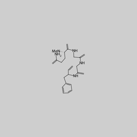 C=CC(Cc1ccccc1)NC(=C)CNC(=C)CNC(=C)[C@H](CCC(=C)N)NC